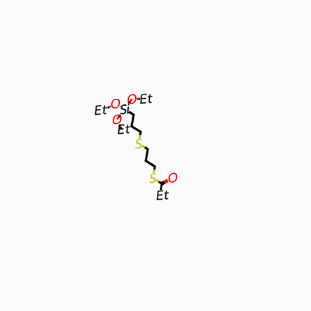 CCO[Si](CCCSCCCSC(=O)CC)(OCC)OCC